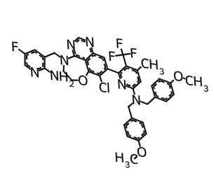 COc1ccc(CN(Cc2ccc(OC)cc2)c2cc(C)c(C(F)(F)F)c(-c3cc4ncnc5c4c(c3Cl)OCCN5Cc3cc(F)cnc3N)n2)cc1